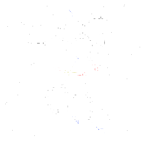 Cc1cnc(OCC(C)C)c(C2(C(=O)NS(=O)(=O)c3cccc4nc(N)ccc34)CC2)c1